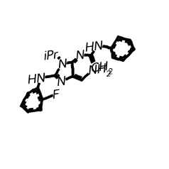 C=C(/N=C1\C(=C/N)N=C(Nc2ccccc2F)N1C(C)C)Nc1ccccc1